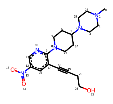 CN1CCN(C2CCN(c3ncc([N+](=O)[O-])cc3C#CCCO)CC2)CC1